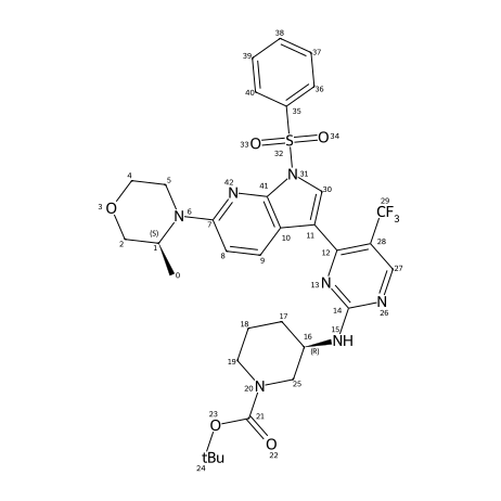 C[C@H]1COCCN1c1ccc2c(-c3nc(N[C@@H]4CCCN(C(=O)OC(C)(C)C)C4)ncc3C(F)(F)F)cn(S(=O)(=O)c3ccccc3)c2n1